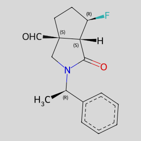 C[C@H](c1ccccc1)N1C[C@]2(C=O)CC[C@@H](F)[C@@H]2C1=O